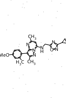 COc1ccc(-c2c(C)nn3c(NCc4nc(C5CC5)no4)cc(C)nc23)c(C)c1